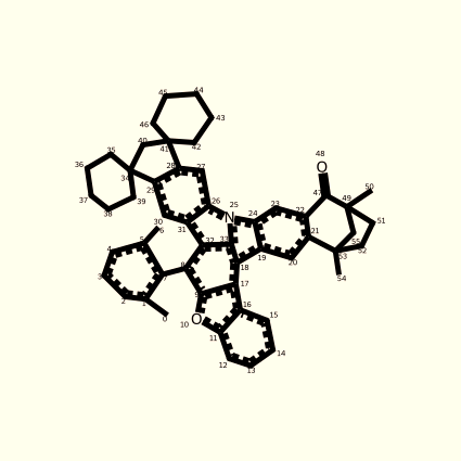 Cc1cccc(C)c1-c1c2oc3ccccc3c2c2c3cc4c(cc3n3c5cc6c(cc5c1c23)C1(CCCCC1)CC61CCCCC1)C(=O)C1(C)CCC4(C)C1